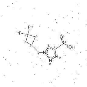 O=C(O)c1cn(CC2CC(F)(F)C2)nn1